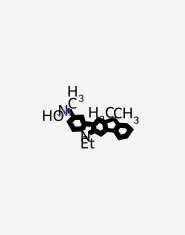 CCn1c2ccc(/C(C)=N\O)cc2c2cc3c(cc21)-c1ccccc1C3(C)C